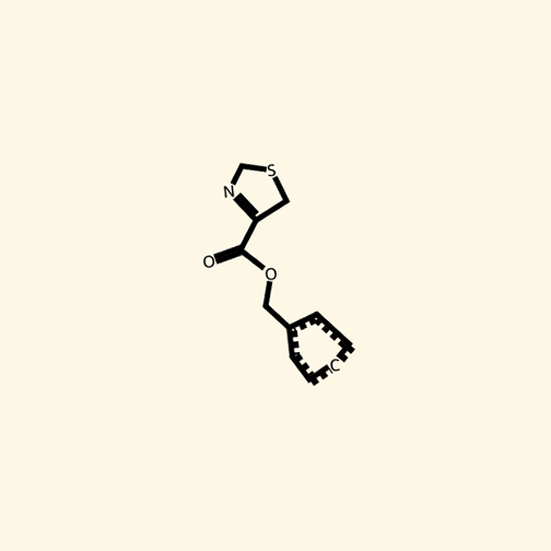 O=C(OCc1ccccc1)C1=NCSC1